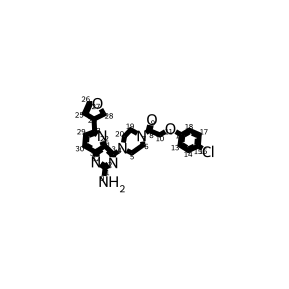 Nc1nc(N2CCN(C(=O)COc3ccc(Cl)cc3)CC2)c2nc(C3C=COC3)ccc2n1